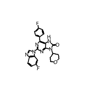 O=c1[nH]c2c(-c3ccc(F)cc3)nc(-n3cnc4ccc(F)cc43)nc2n1C1CCOCC1